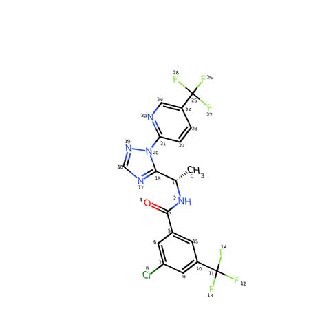 C[C@H](NC(=O)c1cc(Cl)cc(C(F)(F)F)c1)c1ncnn1-c1ccc(C(F)(F)F)cn1